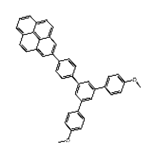 COc1ccc(-c2cc(-c3ccc(OC)cc3)cc(-c3ccc(-c4cc5ccc6cccc7ccc(c4)c5c67)cc3)c2)cc1